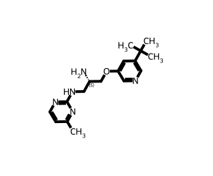 Cc1ccnc(NC[C@H](N)COc2cncc(C(C)(C)C)c2)n1